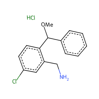 COC(c1ccccc1)c1ccc(Cl)cc1CN.Cl